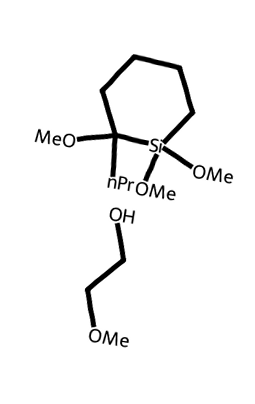 CCCC1(OC)CCCC[Si]1(OC)OC.COCCO